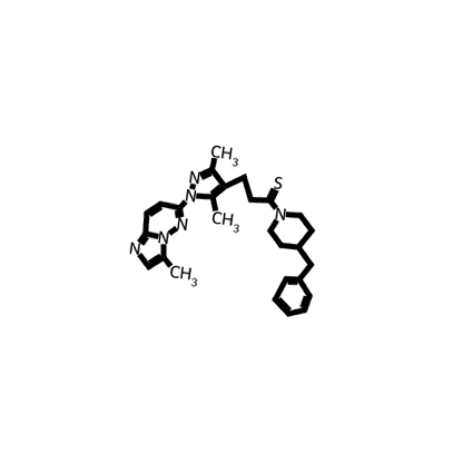 Cc1nn(-c2ccc3ncc(C)n3n2)c(C)c1CCC(=S)N1CCC(Cc2ccccc2)CC1